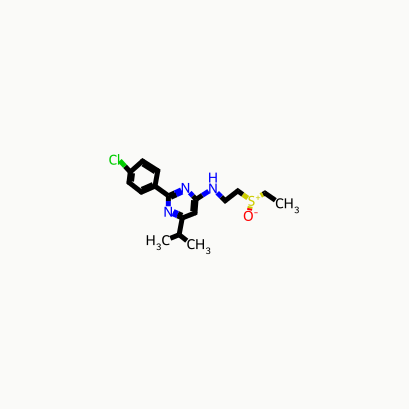 CC[S+]([O-])CCNc1cc(C(C)C)nc(-c2ccc(Cl)cc2)n1